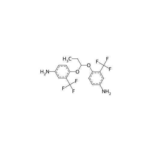 CCC(Oc1ccc(N)cc1C(F)(F)F)Oc1ccc(N)cc1C(F)(F)F